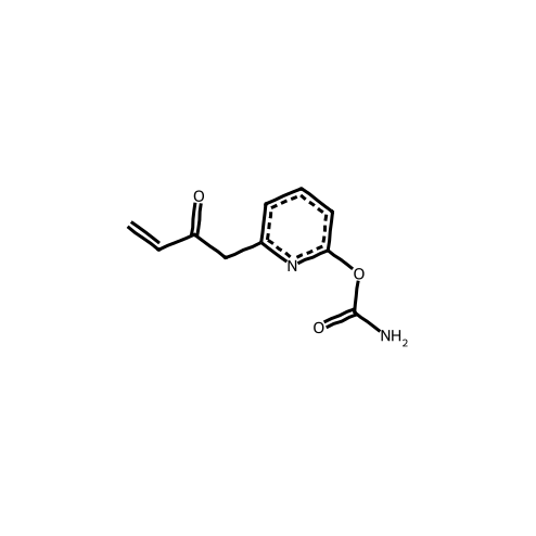 C=CC(=O)Cc1cccc(OC(N)=O)n1